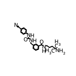 CC(C)(N)CCCNC(=O)c1cccc(CNC(=O)Nc2ccc(C#N)cc2)c1